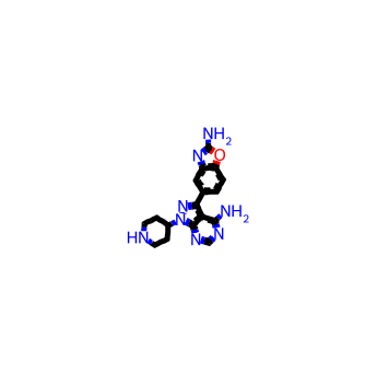 Nc1nc2cc(-c3nn(C4CCNCC4)c4ncnc(N)c34)ccc2o1